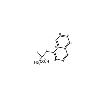 C[C@](S)(Cc1nccc2ccccc12)C(=O)O